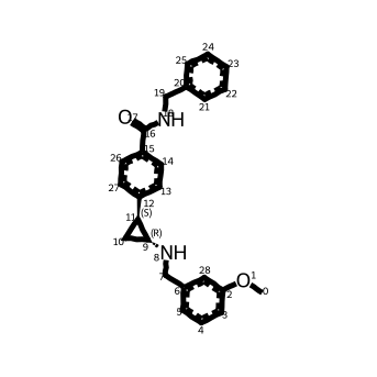 COc1cccc(CN[C@@H]2C[C@H]2c2ccc(C(=O)NCc3ccccc3)cc2)c1